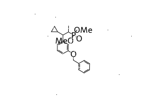 COP(=O)(OC)C(C)C(c1cccc(OCc2ccccc2)c1)C1CC1